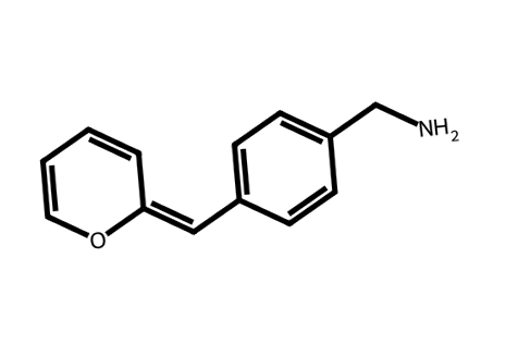 NCc1ccc(C=C2C=CC=CO2)cc1